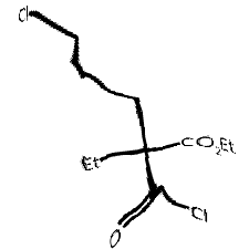 CCOC(=O)C(CC)(CCCCl)C(=O)Cl